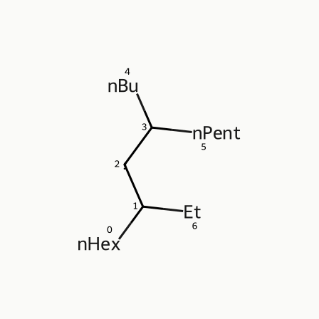 CCCCCCC([CH]C(CCCC)CCCCC)CC